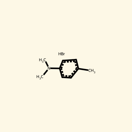 Br.Cc1ccc(N(C)C)cc1